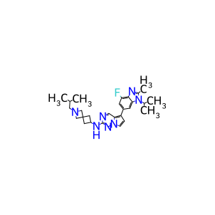 Cc1nc2c(F)cc(-c3ccn4nc(NC5CC6(C5)CN(CC(C)C)C6)ncc34)cc2n1C(C)C